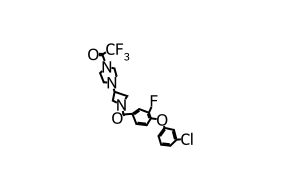 O=C(c1ccc(Oc2cccc(Cl)c2)c(F)c1)N1CC(N2CCN(C(=O)C(F)(F)F)CC2)C1